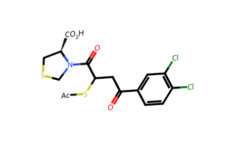 CC(=O)SC(CC(=O)c1ccc(Cl)c(Cl)c1)C(=O)N1CSC[C@H]1C(=O)O